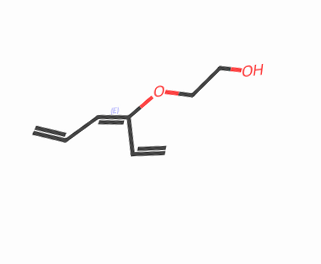 C=C/C=C(\C=C)OCCO